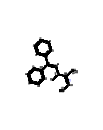 CN(N=C(c1ccccc1)c1ccccc1)/C(N)=N\O